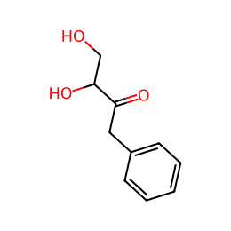 O=C(Cc1ccccc1)C(O)CO